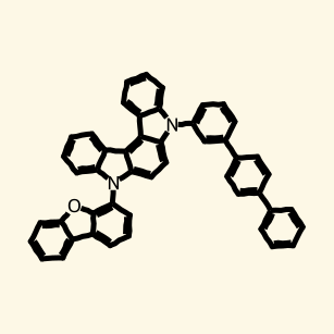 c1ccc(-c2ccc(-c3cccc(-n4c5ccccc5c5c6c7ccccc7n(-c7cccc8c7oc7ccccc78)c6ccc54)c3)cc2)cc1